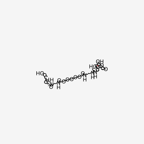 C=C1CC[C@H](O)C/C1=C/C=C1\CCCC2(C)[C@@H]([C@H](C)C(=O)NCCCCNC(=O)CCOCCOCCOCCOCCOCCC(=O)NCCCCCNC(=S)Nc3ccc(-c4c5ccc(=O)cc-5oc5cc(O)ccc45)c(C(=O)O)c3)CC[C@@H]12